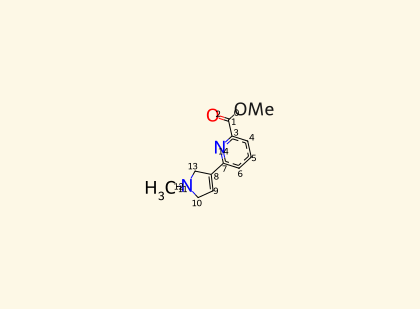 COC(=O)c1cccc(C2=CCN(C)C2)n1